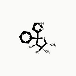 C[C@H]1OC(c2ccccc2)(c2cc[nH]n2)[C@H](O)[C@]1(C)O